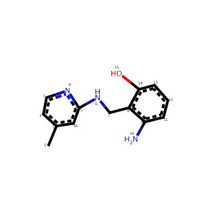 Cc1ccnc(NCc2c(N)cccc2O)c1